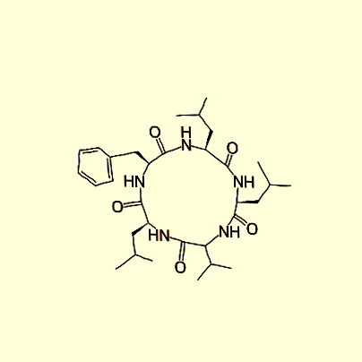 CC(C)C[C@@H]1NC(=O)C(C(C)C)NC(=O)[C@H](CC(C)C)NC(=O)[C@H](CC(C)C)NC(=O)[C@H](Cc2ccccc2)NC1=O